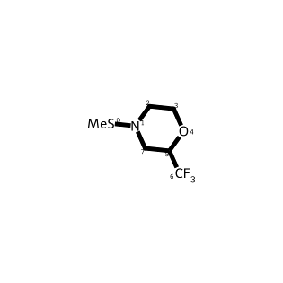 CSN1CCOC(C(F)(F)F)C1